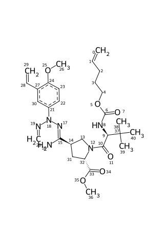 C=CCCCOC(=O)N[C@H](C(=O)N1C[C@H](/C(N)=N/N(N=C)c2ccc(OC)c(C=C)c2)C[C@H]1C(=O)OC)C(C)(C)C